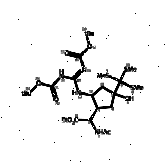 CCOC(=O)C(NC(C)=O)[C@@H]1CC(O)(C(SC)(SC)SC)C[C@@H]1NC(=NC(=O)OC(C)(C)C)NC(=O)OC(C)(C)C